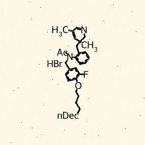 Br.CCCCCCCCCCCCCCOc1ccc(CN(C(C)=O)c2ccccc2CC2(C)C=C(C)C=NC2)cc1F